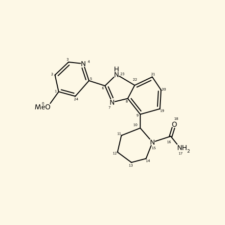 COc1ccnc(-c2nc3c(C4CCCCN4C(N)=O)cccc3[nH]2)c1